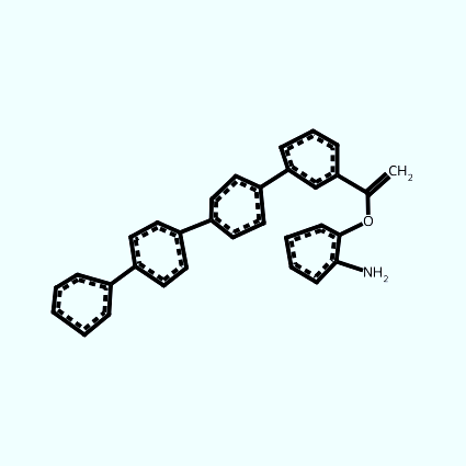 C=C(Oc1ccccc1N)c1cccc(-c2ccc(-c3ccc(-c4ccccc4)cc3)cc2)c1